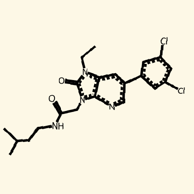 CCn1c(=O)n(CC(=O)NCCC(C)C)c2ncc(-c3cc(Cl)cc(Cl)c3)cc21